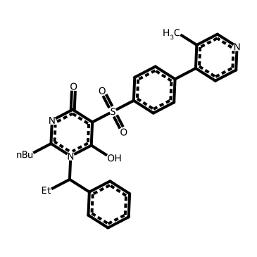 CCCCc1nc(=O)c(S(=O)(=O)c2ccc(-c3ccncc3C)cc2)c(O)n1C(CC)c1ccccc1